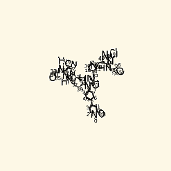 Cn1ccc(-c2ccc(N(C(=O)NCc3ccccc3)C3CCC(Nc4ncc(C#N)c(NC5COC5)n4)CC3)cc2)cc1=O.N#Cc1cnc(Cl)nc1NC1COC1